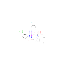 CC[C@@H](C(=O)Nc1cccc(Cl)c1C(=O)Nc1cccc(F)c1)N(C(=O)O)C(C)(C)C